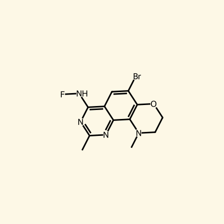 Cc1nc(NF)c2cc(Br)c3c(c2n1)N(C)CCO3